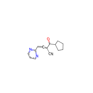 N#CC(=C=Cc1ncccn1)C(=O)C1CCCC1